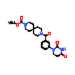 CC(C)(C)OC(=O)N1CCC2(CC1)CCN(C(=O)c1cccc(N3CCC(=O)NC3=O)c1)CC2